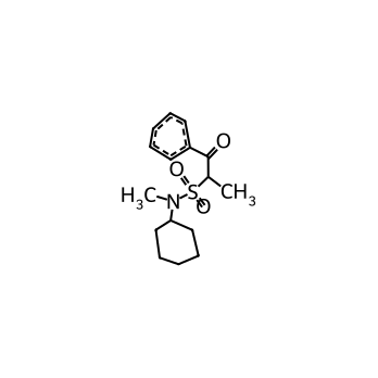 CC(C(=O)c1ccccc1)S(=O)(=O)N(C)C1CCCCC1